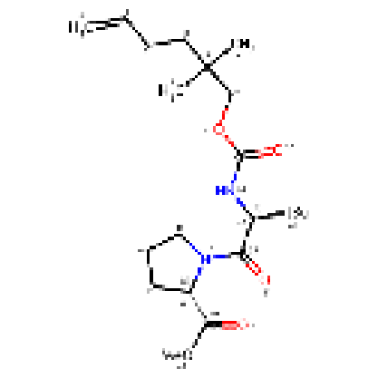 C=CCCC(C)(C)COC(=O)N[C@H](C(=O)N1CCC[C@H]1C(=O)OC)C(C)(C)C